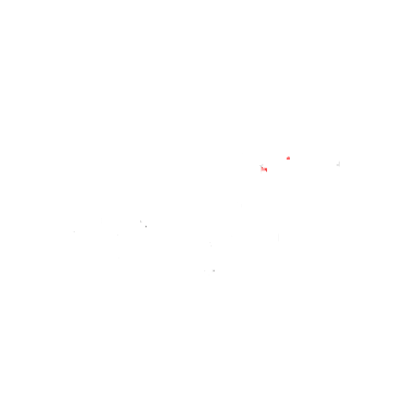 CC(NC(=O)OC(C)(C)C)C(C(=O)O)c1cccc(-c2ccccc2)c1Oc1ncc(Br)cc1F